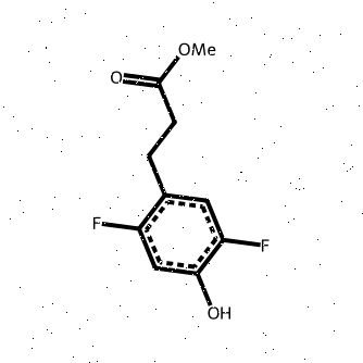 COC(=O)CCc1cc(F)c(O)cc1F